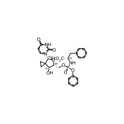 CCOC(=O)[C@H](Cc1ccccc1)NP(=O)(OC[C@H]1O[C@@H](n2ccc(=O)[nH]c2=O)C2(CC2)[C@@H]1O)Oc1ccccc1